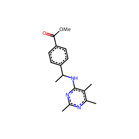 COC(=O)c1ccc(C(C)Nc2nc(C)nc(C)c2C)cc1